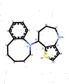 c1ccc2c(c1)CCCCCN2C1CCC[N]c2ccsc21